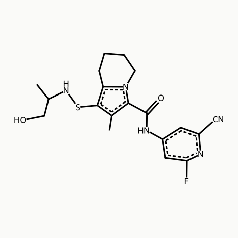 Cc1c(SNC(C)CO)c2n(c1C(=O)Nc1cc(F)nc(C#N)c1)CCCC2